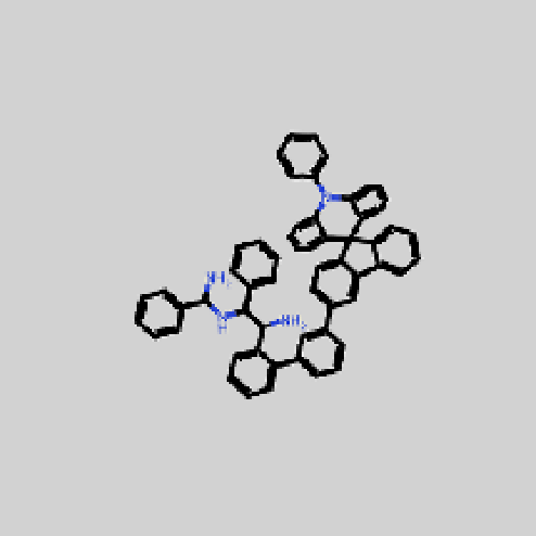 NC(NC(c1ccccc1)[C@@H](N)c1ccccc1-c1cccc(-c2ccc3c(c2)-c2ccccc2C32c3ccccc3N(c3ccccc3)c3ccccc32)c1)c1ccccc1